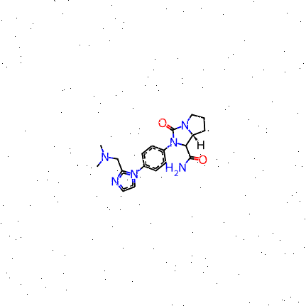 CN(C)Cc1nccn1-c1ccc(N2C(=O)N3CC[CH][C@@H]3C2C(N)=O)cc1